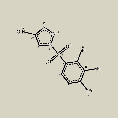 CC(C)c1ccc(S(=O)(=O)n2cc([N+](=O)[O-])nn2)c(C(C)C)c1C(C)C